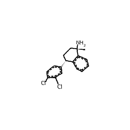 C[C@]1(N)CC[C@@H](c2ccc(Cl)c(Cl)c2)c2ccccc21